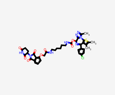 Cc1sc2c(c1C)C(c1ccc(Cl)cc1)=NC(OC(=O)NCCCCCCNC(=O)COc1cccc3c1C(=O)N(C1CCC(=O)NC1=O)C3=O)c1nnc(C)n1-2